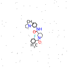 Cc1cccc(F)c1C(=O)N1CCCC(C(=O)Nc2cccc(N3CCC[C@H]3C)c2)C1